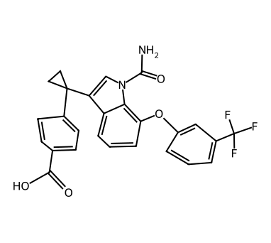 NC(=O)n1cc(C2(c3ccc(C(=O)O)cc3)CC2)c2cccc(Oc3cccc(C(F)(F)F)c3)c21